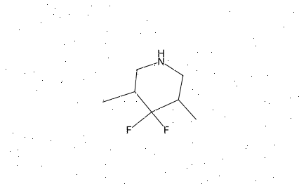 CC1CNCC(C)C1(F)F